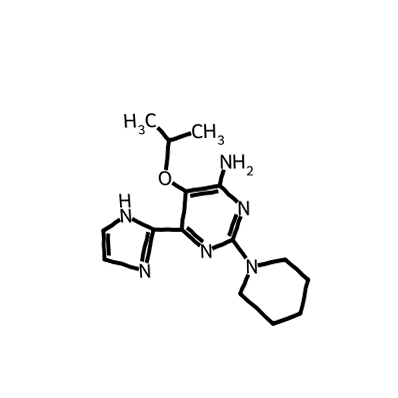 CC(C)Oc1c(N)nc(N2CCCCC2)nc1-c1ncc[nH]1